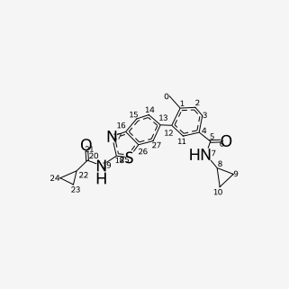 Cc1ccc(C(=O)NC2CC2)cc1-c1ccc2nc(NC(=O)C3CC3)sc2c1